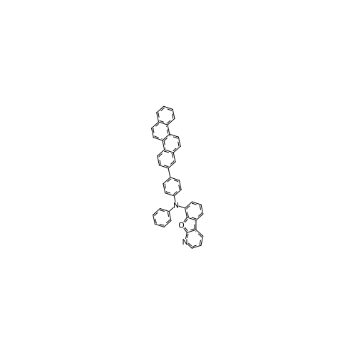 c1ccc(N(c2ccc(-c3ccc4c(ccc5c6ccccc6ccc45)c3)cc2)c2cccc3c2oc2ncccc23)cc1